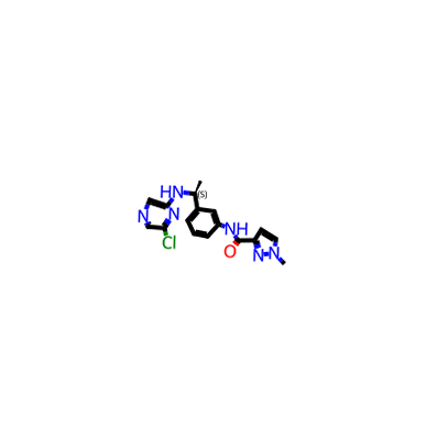 C[C@H](Nc1cncc(Cl)n1)c1cccc(NC(=O)c2ccn(C)n2)c1